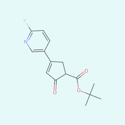 CC(C)(C)OC(=O)C1CC(c2ccc(F)nc2)=CC1=O